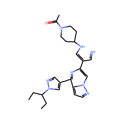 CCC(CC)n1cc(-c2nc(/C(C=N)=C/NC3CCN(C(C)=O)CC3)cn3nccc23)cn1